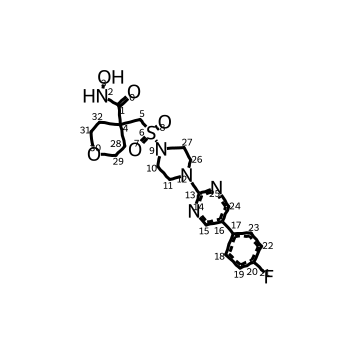 O=C(NO)C1(CS(=O)(=O)N2CCN(c3ncc(-c4ccc(F)cc4)cn3)CC2)CCOCC1